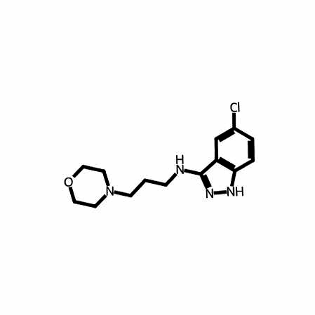 Clc1ccc2[nH]nc(NCCCN3CCOCC3)c2c1